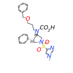 Cn1cnc(S(=O)(=O)N2C[C@H](c3ccccc3)[C@@H](N(CCCOCc3ccccc3)C(=O)O)C2)c1